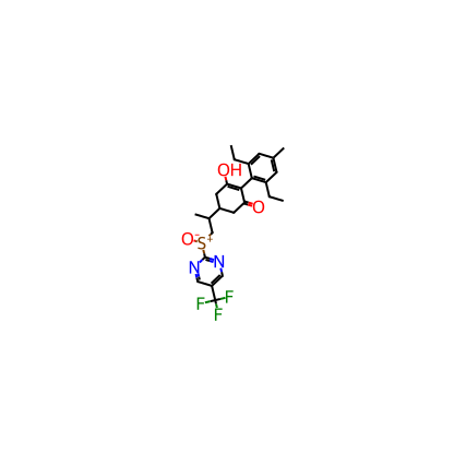 CCc1cc(C)cc(CC)c1C1=C(O)CC(C(C)C[S+]([O-])c2ncc(C(F)(F)F)cn2)CC1=O